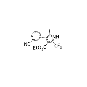 CCOC(=O)c1c(C(F)(F)F)[nH]c(C)c1-c1cccc(C#N)c1